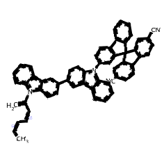 C=C(/C=C\C=C/C)n1c2ccccc2c2cc(-c3ccc4c(c3)c3ccccc3n4-c3ccc4c(c3)C3(c5ccccc5-4)c4cc(C#N)ccc4-c4ccc(C#N)cc43)ccc21